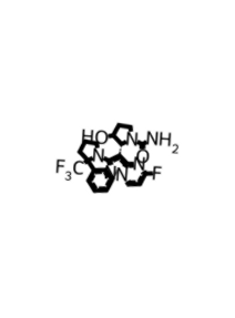 NC(=O)N1CCC(O)[C@H]1c1c(N2CCCC2(c2ccccc2)C(F)(F)F)nn2ccc(F)nc12